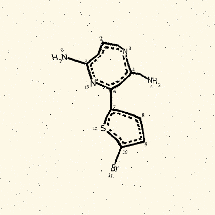 Nc1cnc(N)c(-c2ccc(Br)s2)n1